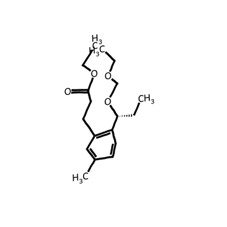 CCOCO[C@H](CC)c1ccc(C)cc1CCC(=O)OCC